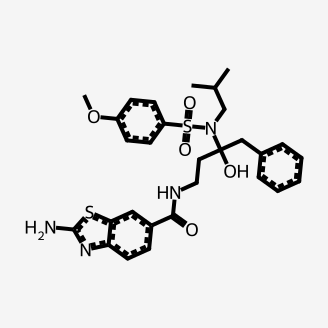 COc1ccc(S(=O)(=O)N(CC(C)C)C(O)(CCNC(=O)c2ccc3nc(N)sc3c2)Cc2ccccc2)cc1